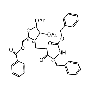 CC(=O)OC1O[C@H](COC(=O)c2ccccc2)[C@H](CCC(=O)[C@H](Cc2ccccc2)NC(=O)OCc2ccccc2)C1OC(C)=O